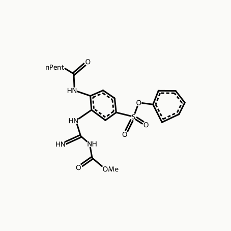 CCCCCC(=O)Nc1ccc(S(=O)(=O)Oc2ccccc2)cc1NC(=N)NC(=O)OC